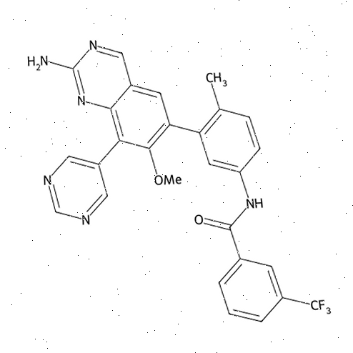 COc1c(-c2cc(NC(=O)c3cccc(C(F)(F)F)c3)ccc2C)cc2cnc(N)nc2c1-c1cncnc1